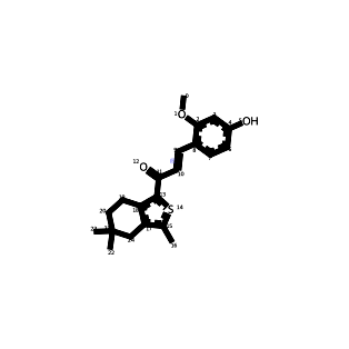 COc1cc(O)ccc1/C=C/C(=O)c1sc(C)c2c1CCC(C)(C)C2